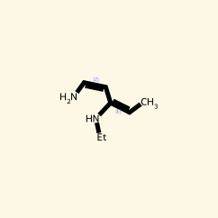 C/C=C(\C=C/N)NCC